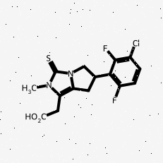 Cn1c(CC(=O)O)c2n(c1=S)CC(c1c(F)ccc(Cl)c1F)C2